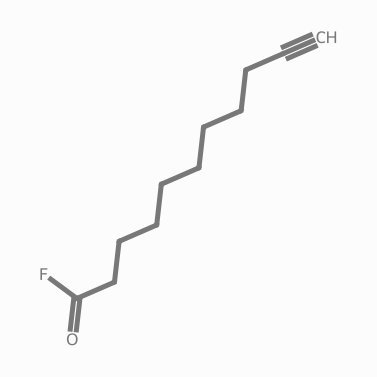 C#CCCCCCCCCC(=O)F